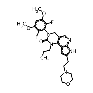 CCCN1C(=O)N(c2c(F)c(OC)cc(OC)c2F)Cc2cnc3[nH]c(CCN4CCOCC4)cc3c21